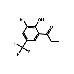 CCC(=O)c1cc(C(F)(F)F)cc(Br)c1O